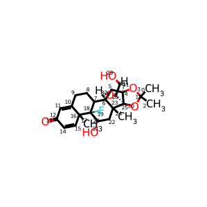 CC1(C)O[C@@H]2C[C@H]3C4CCC5=CC(=O)C=CC5(C)[C@@]4(F)[C@@H](O)CC3(C)[C@]2(C(=O)CO)O1